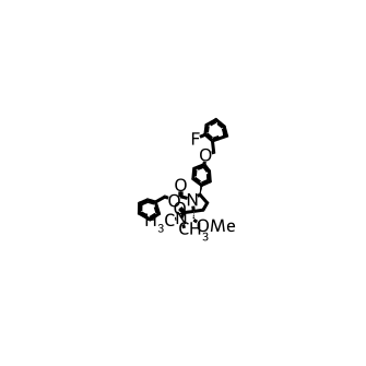 COC[C@@]1(C(=O)N(C)C)CC[C@H](c2ccc(OCc3ccccc3F)cc2)N1C(=O)OCc1ccccc1